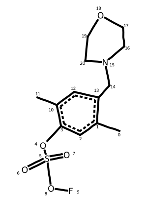 Cc1cc(OS(=O)(=O)OF)c(C)cc1CN1CCOCC1